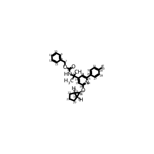 CC(C)(NC(=O)OCc1ccccc1)c1cc(O[C@H]2[C@@H]3CCC[C@@H]32)nc(-c2ccc(F)cc2)c1